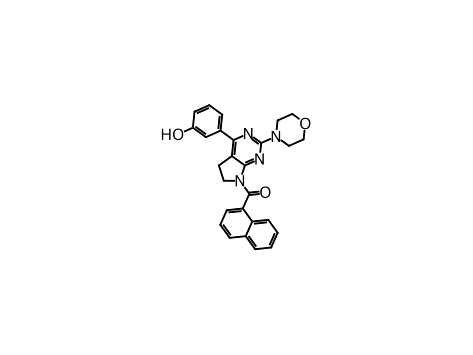 O=C(c1cccc2ccccc12)N1CCc2c(-c3cccc(O)c3)nc(N3CCOCC3)nc21